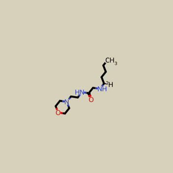 [2H][C@@H](CCCC)NCC(=O)NCCN1CCOCC1